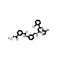 COC(=O)c1cccc(C(=O)Nc2cccc(CNc3cc(-c4ccccc4Cl)nc4c(Br)cnn34)c2)c1